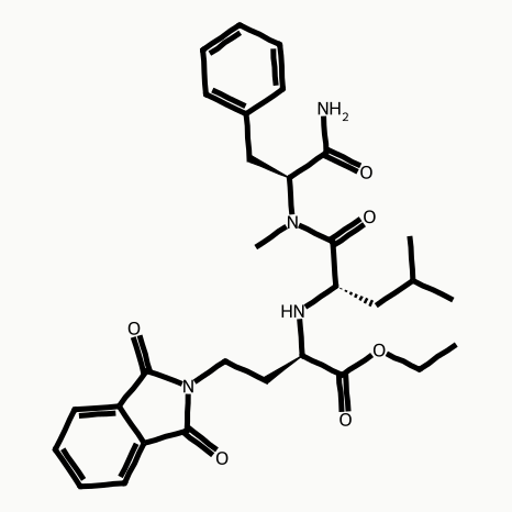 CCOC(=O)[C@@H](CCN1C(=O)c2ccccc2C1=O)N[C@@H](CC(C)C)C(=O)N(C)[C@@H](Cc1ccccc1)C(N)=O